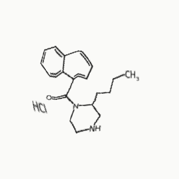 CCCCC1CNCCN1C(=O)c1cccc2ccccc12.Cl